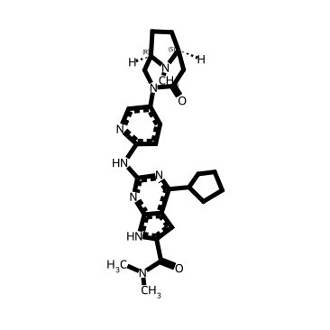 CN(C)C(=O)c1cc2c(C3CCCC3)nc(Nc3ccc(N4C[C@H]5CC[C@@H](CC4=O)N5C)cn3)nc2[nH]1